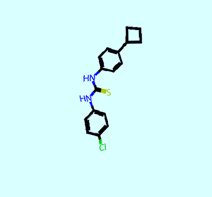 S=C(Nc1ccc(Cl)cc1)Nc1ccc(C2CCC2)cc1